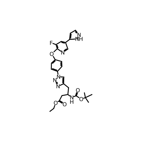 CCOC(=O)CC(Cc1cn(-c2ccc(Oc3ncc(-c4ccn[nH]4)cc3F)cc2)nn1)NC(=O)OC(C)(C)C